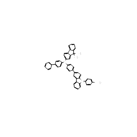 CC1(C)c2ccccc2-c2ccc(N(c3ccc(-c4ccccc4)cc3)c3ccc(-c4ccc5c(c4)c4ccccc4n5-c4ccc(C=O)cc4)cc3)cc21